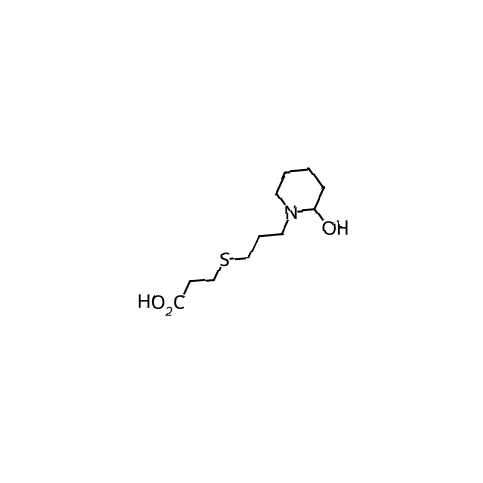 O=C(O)CCSCCCN1CCCCC1O